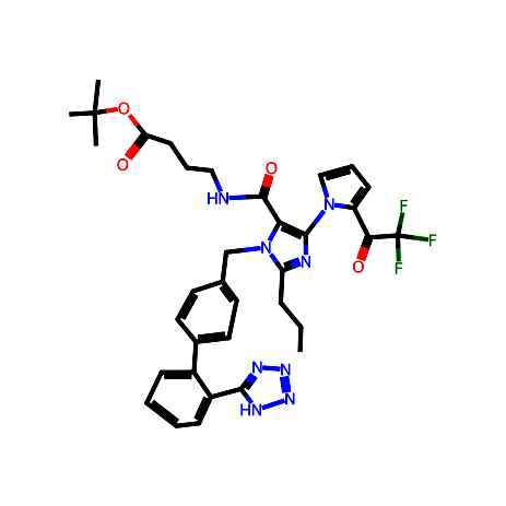 CCCc1nc(-n2cccc2C(=O)C(F)(F)F)c(C(=O)NCCCC(=O)OC(C)(C)C)n1Cc1ccc(-c2ccccc2-c2nnn[nH]2)cc1